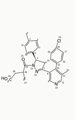 Cc1ccc([C@H]2CC(c3cncc(C)c3-c3ccc(Cl)cc3)=NN2C(=O)C(F)CC(=O)O)cc1